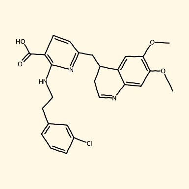 COc1cc2c(cc1OC)C(Cc1ccc(C(=O)O)c(NCCc3cccc(Cl)c3)n1)CC=N2